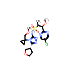 COCC1(n2c(NS(=O)(=O)C(C)C(OC)c3ncc(Cl)cn3)nnc2[C@@H]2CCOC2)CC1